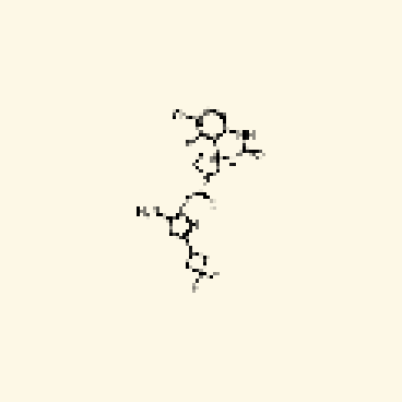 Nc1cc(C2CC(F)(F)C2)nn1CC(=O)N1CC[C@@]2(C1)OC(=O)Nc1ccc(Cl)c(F)c12